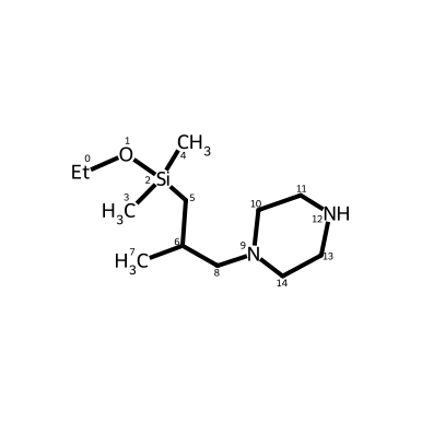 CCO[Si](C)(C)CC(C)CN1CCNCC1